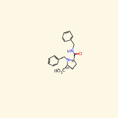 O=C(NCc1ccccc1)[C@H]1CC[C@@H](C(=O)O)N1Cc1ccccc1